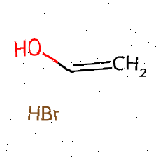 Br.C=CO